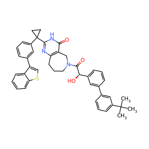 CC(C)(C)c1cccc(-c2cccc([C@@H](O)C(=O)N3CCCc4nc(C5(c6cccc(-c7csc8ccccc78)c6)CC5)[nH]c(=O)c4C3)c2)c1